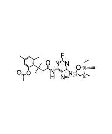 C#C[C@]1(CC)O[C@@H](n2cnc3c(NC(=O)CC(C)(C)c4c(C)cc(C)cc4OC(C)=O)nc(F)nc32)C[C@@H]1C